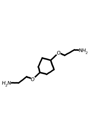 NCCOC1CCC(OCCN)CC1